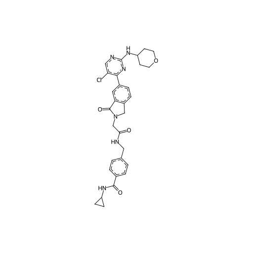 O=C(CN1Cc2ccc(-c3nc(NC4CCOCC4)ncc3Cl)cc2C1=O)NCc1ccc(C(=O)NC2CC2)cc1